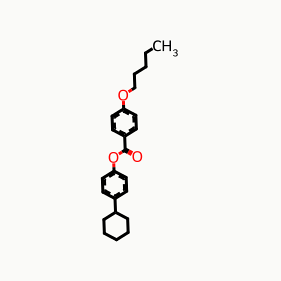 CCCCCOc1ccc(C(=O)Oc2ccc(C3CCCCC3)cc2)cc1